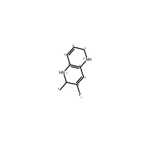 CC1NC2=C(C=C1F)NCC=C2